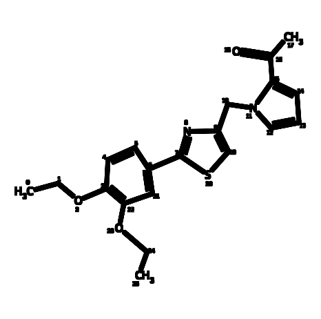 CCOc1ccc(-c2nc(Cn3cccc3C(C)=O)cs2)cc1OCC